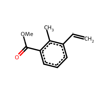 C=[C]c1cccc(C(=O)OC)c1C